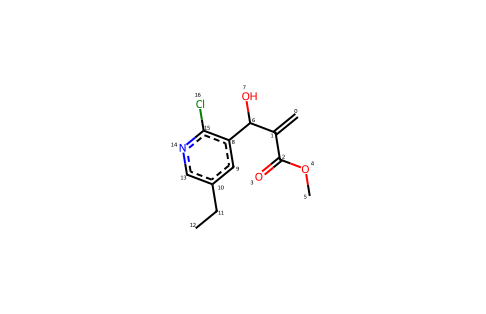 C=C(C(=O)OC)C(O)c1cc(CC)cnc1Cl